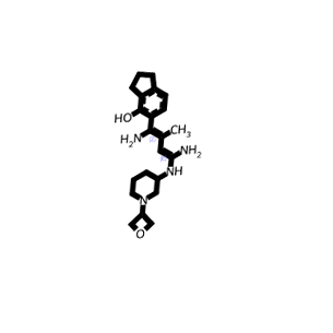 CC(/C=C(\N)NC1CCCN(C2COC2)C1)=C(/N)c1ccc2c(c1O)CCC2